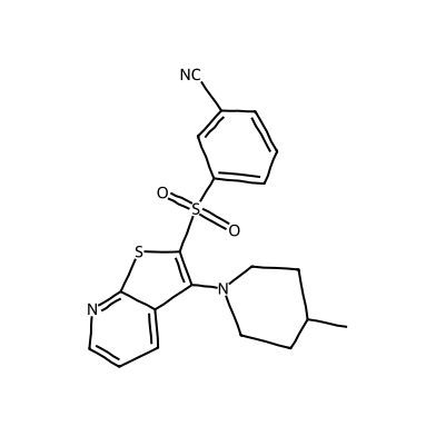 CC1CCN(c2c(S(=O)(=O)c3cccc(C#N)c3)sc3ncccc23)CC1